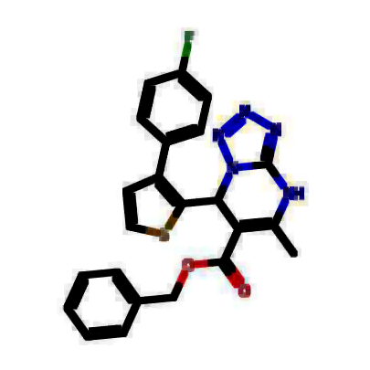 CC1=C(C(=O)OCc2ccccc2)C(c2sccc2-c2ccc(F)cc2)n2nnnc2N1